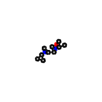 c1ccc(-c2ccc(-n3c4ccccc4c4c(-c5ccc6c(c5)c5ccccc5n6-c5ccc6c7ccccc7c7ccccc7c6c5)cccc43)c3oc4ccccc4c23)cc1